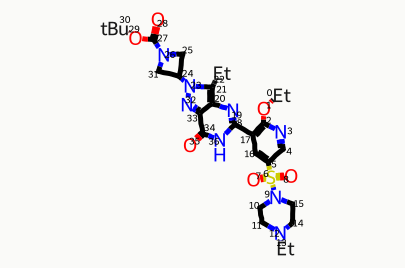 CCOc1ncc(S(=O)(=O)N2CCN(CC)CC2)cc1-c1nc2c(CC)n(C3CN(C(=O)OC(C)(C)C)C3)nc2c(=O)[nH]1